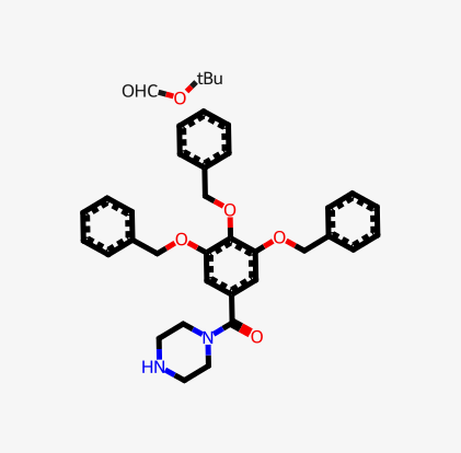 CC(C)(C)OC=O.O=C(c1cc(OCc2ccccc2)c(OCc2ccccc2)c(OCc2ccccc2)c1)N1CCNCC1